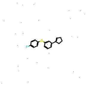 Fc1ccc(Sc2cccc(C3=C[CH]CC3)c2)cc1